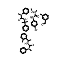 CN(C(=O)NC(C)(C)c1ccccc1)c1ccccc1.CON(C)C(=O)Nc1ccc(Br)cc1.Cc1cccc(C=O)c1.Cc1ccccc1C(C)NC(=O)N(C)c1ccccc1